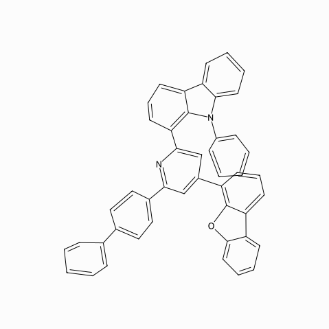 c1ccc(-c2ccc(-c3cc(-c4cccc5c4oc4ccccc45)cc(-c4cccc5c6ccccc6n(-c6ccccc6)c45)n3)cc2)cc1